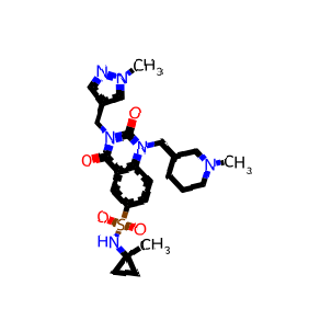 CN1CCCC(Cn2c(=O)n(Cc3cnn(C)c3)c(=O)c3cc(S(=O)(=O)NC4(C)CC4)ccc32)C1